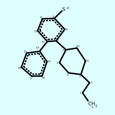 CCCC1CCC(c2cc([S])ccc2-c2ccccc2)CC1